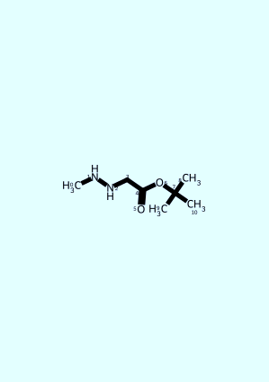 CNNCC(=O)OC(C)(C)C